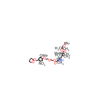 CNC(C)(C(=O)OC(C)(C)COC(C)(C)C)C(C)(C)CCNC(C)(C(=O)OCCOCCOc1cc([N+](=O)[O-])c(COC2CCCCO2)cc1OC)C(C)(C)C